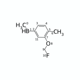 CBc1ccc(C)c(OCF)c1